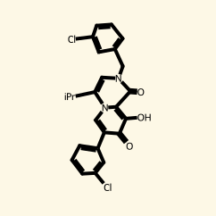 CC(C)c1cn(Cc2cccc(Cl)c2)c(=O)c2c(O)c(=O)c(-c3cccc(Cl)c3)cn12